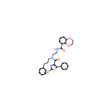 Cc1nc(C(=O)N(CCCc2ccccc2)CCNC(=O)c2cccc3c2OCCO3)c(-c2ccccc2)s1